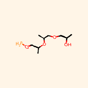 CC(O)COCC(C)OC(C)COP